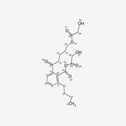 CCCCc1cccc(C(=O)CCCCOC(=O)CO)c1C(=O)OC(=O)CO